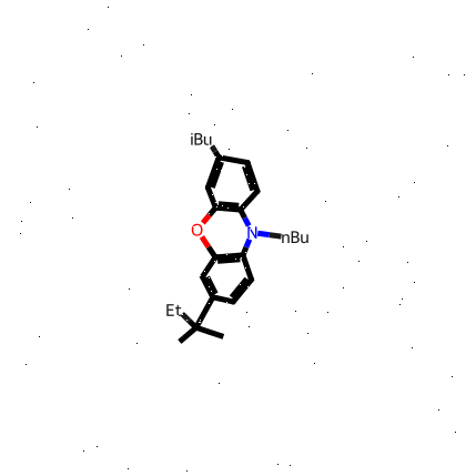 CCCCN1c2ccc(C(C)CC)cc2Oc2cc(C(C)(C)CC)ccc21